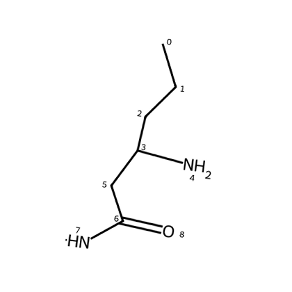 CCCC(N)CC([NH])=O